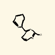 Clc1nccc(-c2ccccn2)n1